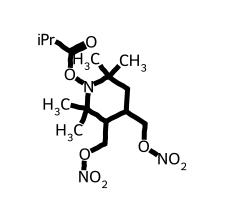 CC(C)C(=O)ON1C(C)(C)CC(CO[N+](=O)[O-])C(CO[N+](=O)[O-])C1(C)C